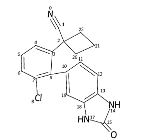 N#CC1(c2cccc(Cl)c2-c2ccc3[nH]c(=O)[nH]c3c2)CCC1